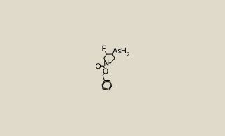 O=C(OCc1ccccc1)N1CCC([AsH2])C(F)C1